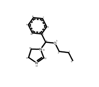 CCCOC(c1ccccc1)N1C=NCC1